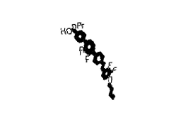 C=CCCOc1ccc(CCC2CCC(c3ccc(-c4ccc(C(O)CCC)cc4)c(F)c3F)CC2)c(F)c1F